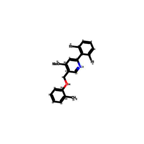 CCc1cccc(CC)c1-c1cc(OC)c(COc2ccccc2C)cn1